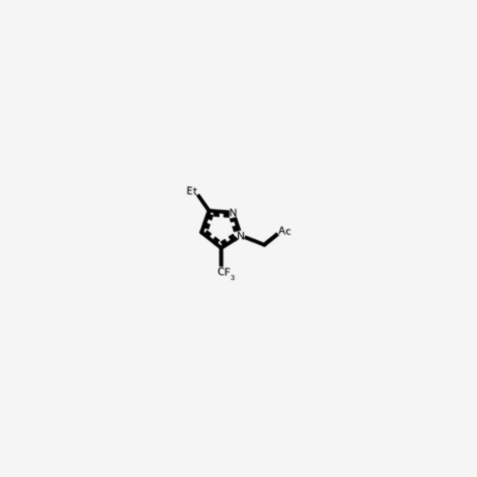 CCc1cc(C(F)(F)F)n(CC(C)=O)n1